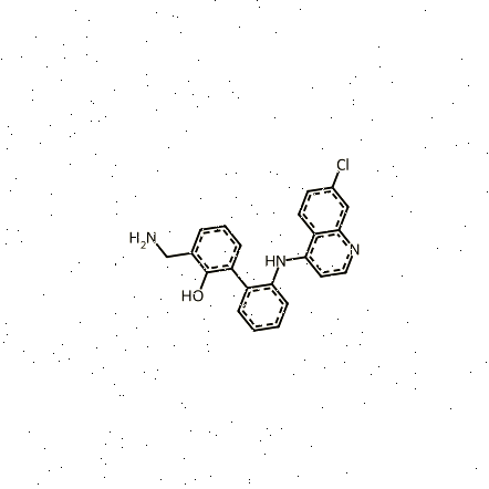 NCc1cccc(-c2ccccc2Nc2ccnc3cc(Cl)ccc23)c1O